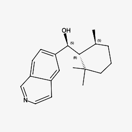 C[C@H]1CCCC(C)(C)[C@@H]1[C@H](O)c1ccc2cnccc2c1